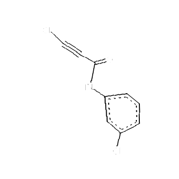 O=C(C#CCl)Nc1cccc(Cl)c1